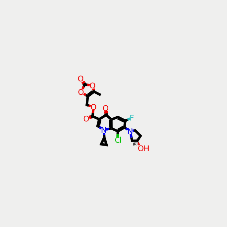 Cc1oc(=O)oc1COC(=O)c1cn(C2CC2)c2c(Cl)c(N3CC[C@@H](O)C3)c(F)cc2c1=O